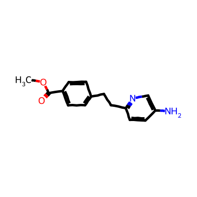 COC(=O)c1ccc(CCc2ccc(N)cn2)cc1